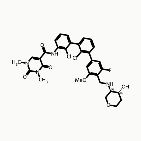 COc1cc(-c2cccc(-c3cccc(NC(=O)c4cn(C)c(=O)n(C)c4=O)c3Cl)c2Cl)cc(F)c1CN[C@@H]1COCC[C@H]1O